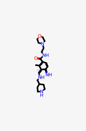 CC1=C(C(=O)NCCN2CCOCC2)C=CC(=N)/C1=C\NCC1CCNCC1